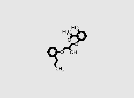 CCCc1ccccc1OCC(O)COc1cccc(O)c1C(C)=O